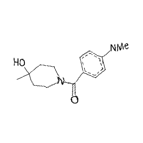 CNc1ccc(C(=O)N2CCC(C)(O)CC2)cc1